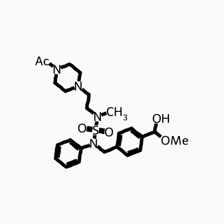 COC(O)c1ccc(CN(c2ccccc2)S(=O)(=O)N(C)CCN2CCN(C(C)=O)CC2)cc1